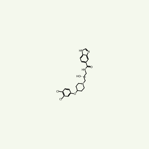 O=C(NC[C@@H](O)CN1CCC(Oc2ccc(Cl)c(Cl)c2)CC1)c1ccc2[nH]cnc2c1